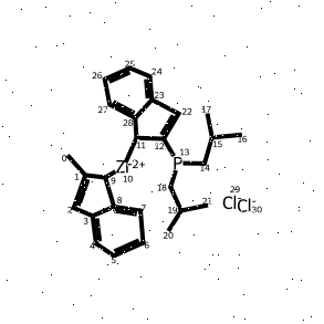 CC1=Cc2ccccc2[CH]1[Zr+2][CH]1C(P(CC(C)C)CC(C)C)=Cc2ccccc21.[Cl-].[Cl-]